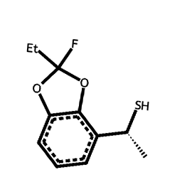 CCC1(F)Oc2cccc([C@@H](C)S)c2O1